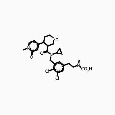 CN(CCc1cc(Cl)c(Cl)c(CN(C(=O)C2CNCCC2c2ccn(C)c(=O)c2)C2CC2)c1)C(=O)O